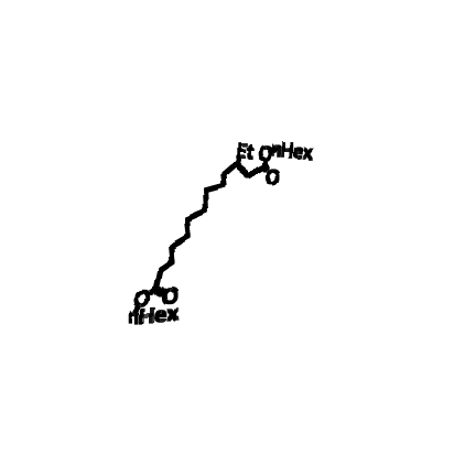 CCCCCCOC(=O)CCCCCCCCCC(CC)CC(=O)OCCCCCC